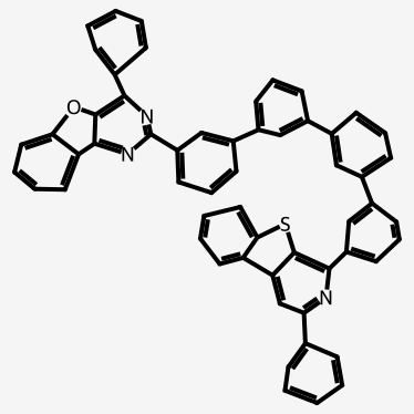 c1ccc(-c2cc3c(sc4ccccc43)c(-c3cccc(-c4cccc(-c5cccc(-c6cccc(-c7nc(-c8ccccc8)c8oc9ccccc9c8n7)c6)c5)c4)c3)n2)cc1